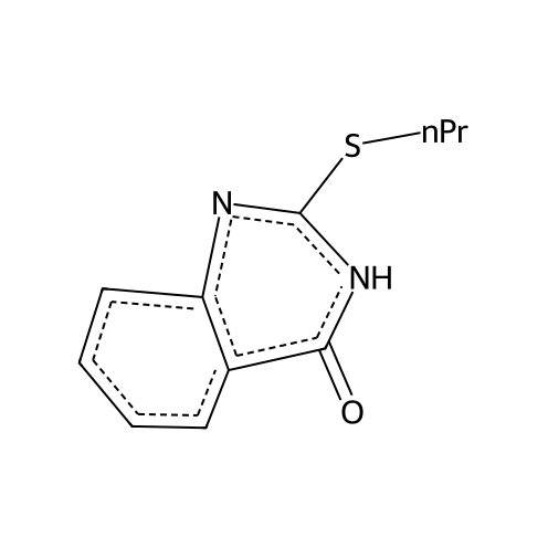 CCCSc1nc2ccccc2c(=O)[nH]1